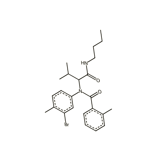 CCCCNC(=O)C(C(C)C)N(C(=O)c1ccccc1C)c1ccc(C)c(Br)c1